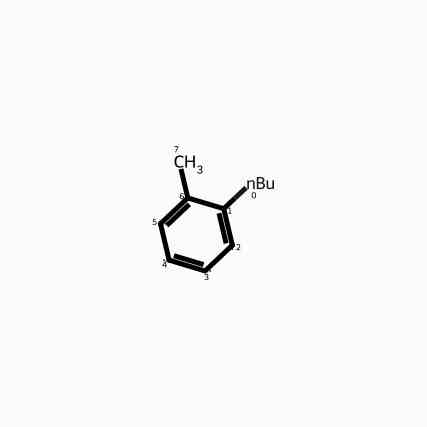 CCCCc1[c][c][c][c]c1C